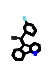 N#C/C(=C1\c2ccccc2-c2ncccc21)c1cccc(F)c1